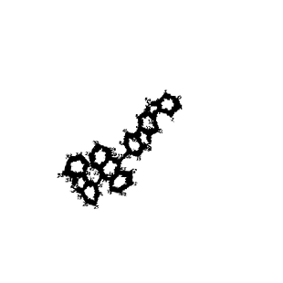 c1ccc2c(c1)sc1cc3c(cc12)sc1cc(-c2c4ccccc4c(-c4cccc5sc6ccccc6c45)c4ccccc24)ccc13